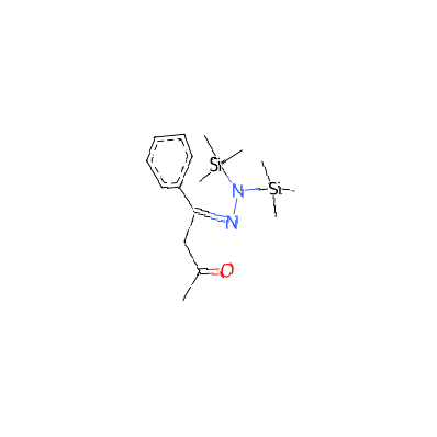 CC(=O)CC(=NN([Si](C)(C)C)[Si](C)(C)C)c1ccccc1